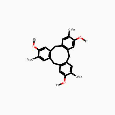 CCOc1cc2c(cc1OC)Cc1cc(OCC)c(OC)cc1Cc1cc(OCC)c(OC)cc1C2